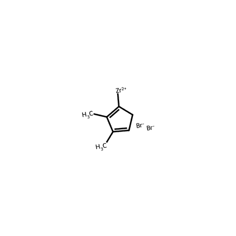 CC1=CC[C]([Zr+2])=C1C.[Br-].[Br-]